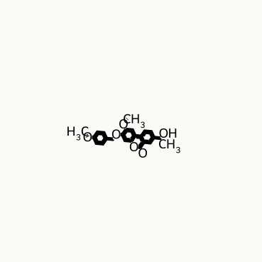 COc1ccc(COc2cc3oc(=O)c4cc([C@H](C)O)ccc4c3cc2OC)cc1